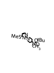 CSc1ccnc(N2CCC(N(C)C(=O)OC(C)(C)C)CC2)n1